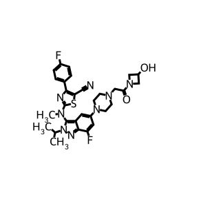 CC(C)n1nc2c(F)cc(N3CCN(CC(=O)N4CC(O)C4)CC3)cc2c1N(C)c1nc(-c2ccc(F)cc2)c(C#N)s1